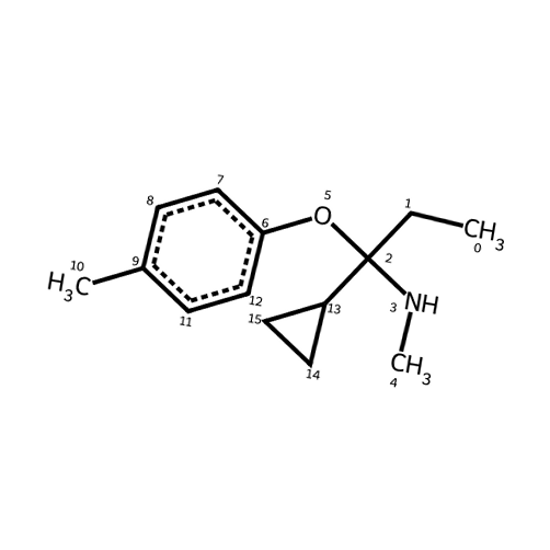 CCC(NC)(Oc1ccc(C)cc1)C1CC1